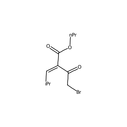 CCCOC(=O)C(=CC(C)C)C(=O)CBr